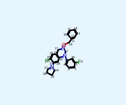 Fc1cccc(N2CN(OCc3ccccc3)Cc3cc(F)c(N4CCCC4)cc32)c1